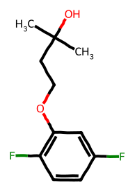 CC(C)(O)CCOc1cc(F)ccc1F